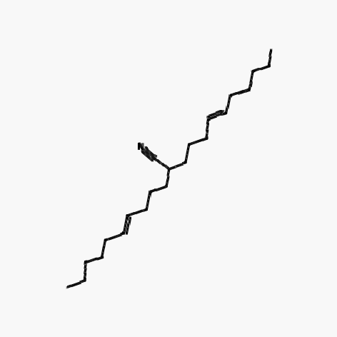 CCCCCC=CCCCC(C#N)CCCC=CCCCCC